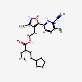 CCC(CCC1CCCC1)C(=O)OCCc1c(C)noc1-c1ccc(Br)c(C#N)n1